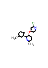 Cc1cccc(-c2nc(C)ccc2Oc2ccnc(Cl)c2)c1